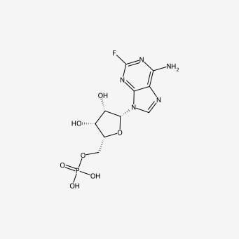 Nc1nc(F)nc2c1ncn2[C@@H]1O[C@H](COP(=O)(O)O)[C@H](O)[C@@H]1O